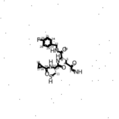 N=CC(=O)CC[C@H](NC(=O)[C@H](CS)NC(=O)C1CC1)C(=O)NCc1ccc(F)cc1